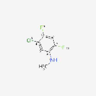 CNc1cc(Cl)c(F)cc1F